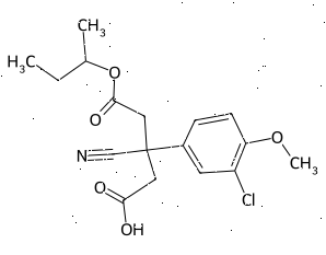 CCC(C)OC(=O)CC(C#N)(CC(=O)O)c1ccc(OC)c(Cl)c1